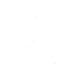 CC(C)(C)c1nc(Nc2ccc([N+](=O)[O-])cc2)nc(Nc2ccc([N+](=O)[O-])cc2)n1